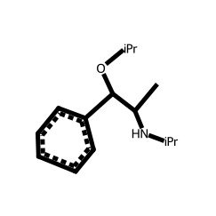 CC(C)NC(C)C(OC(C)C)c1ccccc1